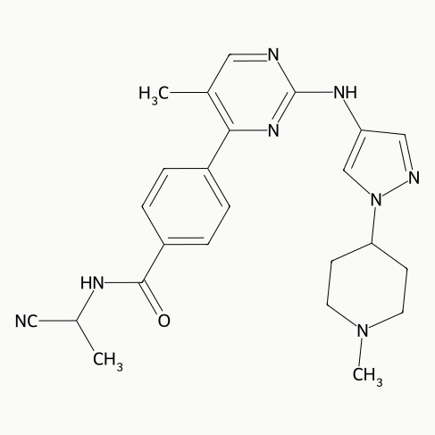 Cc1cnc(Nc2cnn(C3CCN(C)CC3)c2)nc1-c1ccc(C(=O)NC(C)C#N)cc1